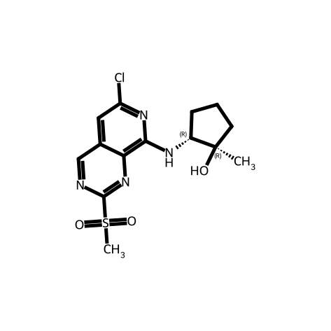 C[C@@]1(O)CCC[C@H]1Nc1nc(Cl)cc2cnc(S(C)(=O)=O)nc12